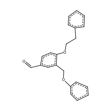 O=Cc1ccc(OCCc2ccccc2)c(COc2ccccc2)c1